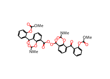 CNC(=O)Oc1c(C(=O)OOC(=O)c2cccc(C(=O)c3ccccc3OC(=O)OC)c2OC(=O)NC)cccc1C(=O)c1ccccc1OC(=O)OC